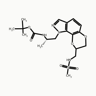 C[C@@H](Cn1ncc2ccc3c(c21)OC(CNS(C)(=O)=O)CO3)NC(=O)OC(C)(C)C